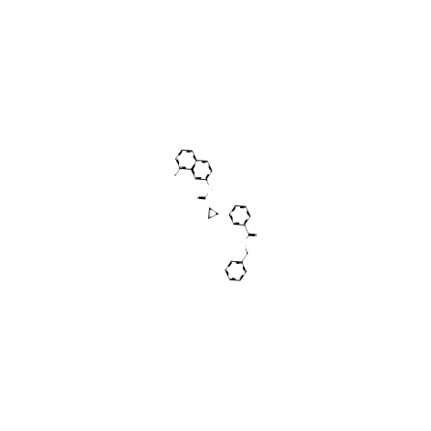 O=C(NCc1ccccc1)c1cccc([C@@H]2C[C@H]2C(=O)Nc2ccc3cccc(Cl)c3c2)c1